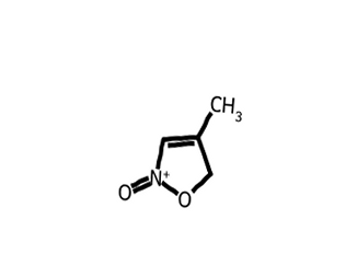 CC1=C[N+](=O)OC1